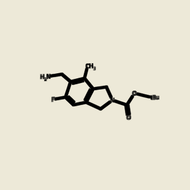 Cc1c(CN)c(F)cc2c1CN(C(=O)OC(C)(C)C)C2